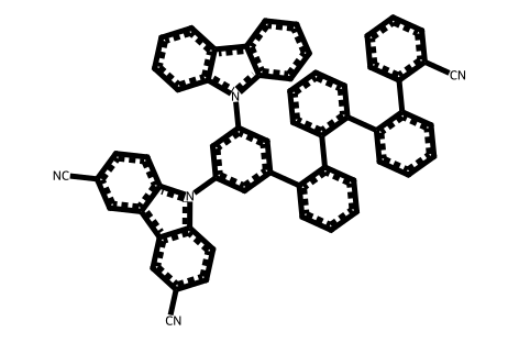 N#Cc1ccc2c(c1)c1cc(C#N)ccc1n2-c1cc(-c2ccccc2-c2ccccc2-c2ccccc2-c2ccccc2C#N)cc(-n2c3ccccc3c3ccccc32)c1